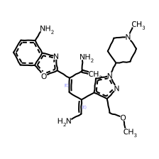 C=C(N)/C(=C\C(=C/N)c1cn(C2CCN(C)CC2)nc1COC)c1nc2c(N)cccc2o1